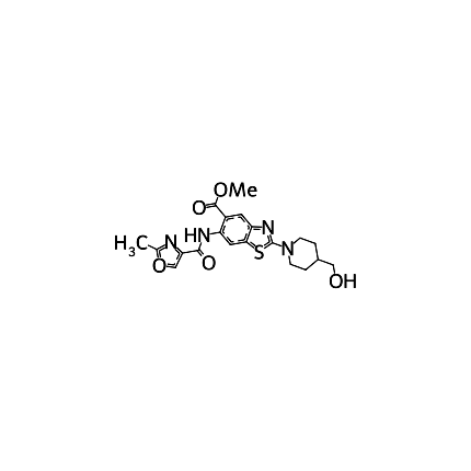 COC(=O)c1cc2nc(N3CCC(CO)CC3)sc2cc1NC(=O)c1coc(C)n1